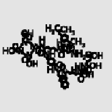 CC(C)Cc1ccc(C(C)C(=O)NC(CCN)C(=O)NCCCCC(NC(=O)CN2CCN(CC(=O)O)CCN(CC(=O)O)CCN(CC(=O)O)CC2)C(=O)NCC2CCC(C(=O)NC(Cc3ccc4ccccc4c3)C(=O)NCCCCC(NC(=O)NC(CCC(=O)O)C(=O)O)C(=O)O)CC2)cc1